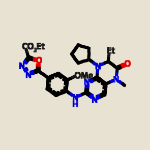 CCOC(=O)c1nnc(-c2ccc(Nc3ncc4c(n3)N(C3CCCC3)C(CC)C(=O)N4C)c(OC)c2)o1